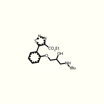 CCOC(=O)c1nnsc1-c1ccccc1OCC(O)CNC(C)(C)C